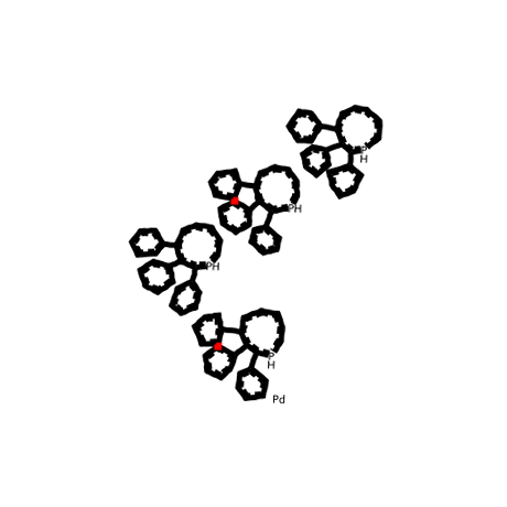 [Pd].c1ccc(-c2ccccc[pH]c(-c3ccccc3)c2-c2ccccc2)cc1.c1ccc(-c2ccccc[pH]c(-c3ccccc3)c2-c2ccccc2)cc1.c1ccc(-c2ccccc[pH]c(-c3ccccc3)c2-c2ccccc2)cc1.c1ccc(-c2ccccc[pH]c(-c3ccccc3)c2-c2ccccc2)cc1